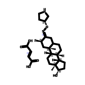 C[C@]12CC[C@H]3[C@@H](CCC4C/C(=N\O[C@@H]5CCNC5)[C@H](F)C[C@@]43C)[C@@H]1CC[C@@H]2O.O=C(O)/C=C/C(=O)O